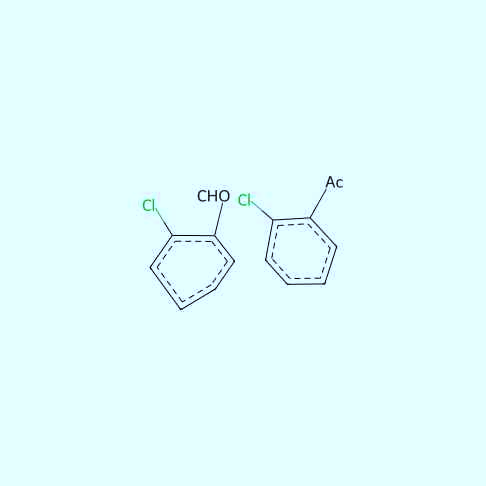 CC(=O)c1ccccc1Cl.O=Cc1ccccc1Cl